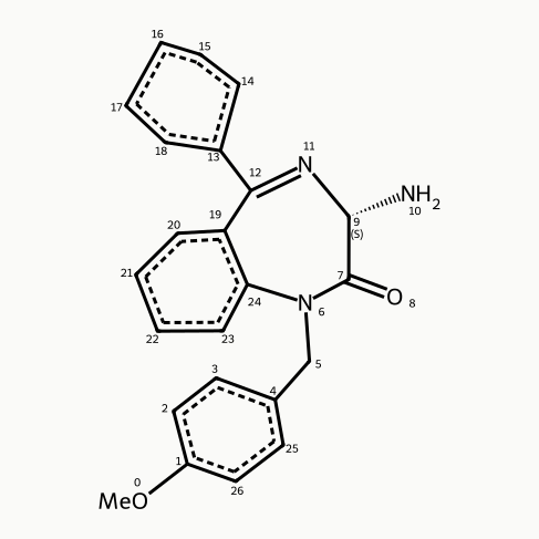 COc1ccc(CN2C(=O)[C@@H](N)N=C(c3ccccc3)c3ccccc32)cc1